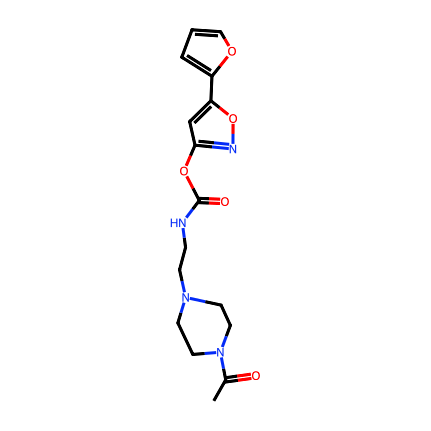 CC(=O)N1CCN(CCNC(=O)Oc2cc(-c3ccco3)on2)CC1